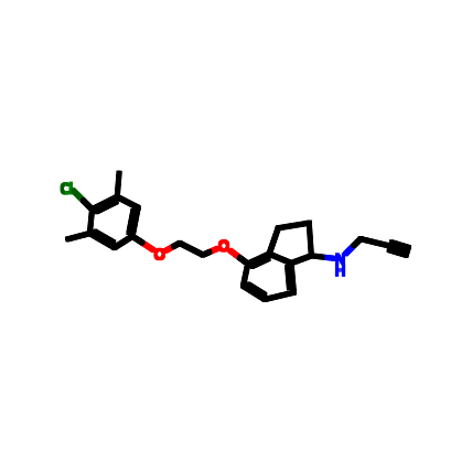 C#CCNC1CCc2c(OCCOc3cc(C)c(Cl)c(C)c3)cccc21